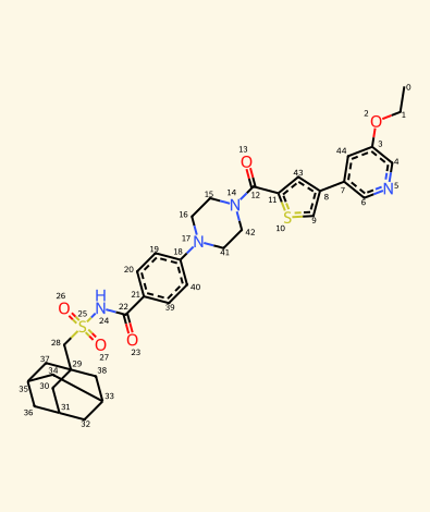 CCOc1cncc(-c2csc(C(=O)N3CCN(c4ccc(C(=O)NS(=O)(=O)CC56CC7CC(CC(C7)C5)C6)cc4)CC3)c2)c1